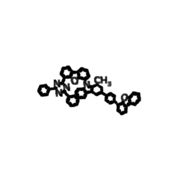 CC1CC(c2ccc(-c3cccc4c3oc3ccccc34)cc2)=Cc2c1n(-c1cccc3c1oc1c(-c4nc(-c5ccccc5)nc(-c5ccccc5)n4)cccc13)c1ccccc21